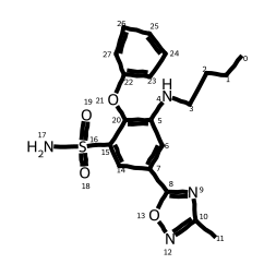 CCCCNc1cc(-c2nc(C)no2)cc(S(N)(=O)=O)c1Oc1ccccc1